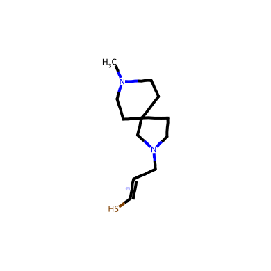 CN1CCC2(CC1)CCN(C/C=C/S)C2